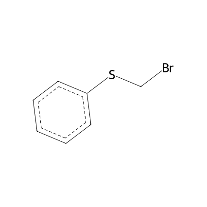 BrCSc1ccccc1